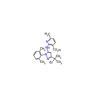 CCC(C)(C)c1cc(Nc2nc(C)ccc2C(=O)O)n(-c2c(C)cccc2C)n1